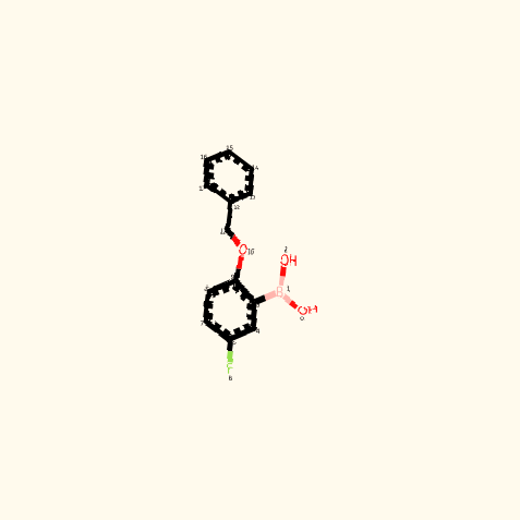 OB(O)c1cc(F)ccc1OCc1ccccc1